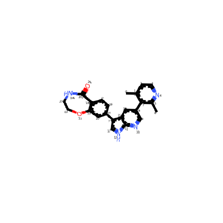 Cc1ccnc(C)c1-c1cnc2[nH]cc(-c3ccc4c(c3)OCCNC4=O)c2c1